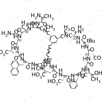 CC(C[C@@H]1NC(=O)[C@H](Cc2ccccc2)NC(=O)[C@H](CC(=O)O)NC(=O)[C@H](CCC(=O)O)NC(=O)[C@H]2CSCc3cc(cc(c3)CN(C)C[C@H](NC(=O)[C@H](C)N)C(=O)N[C@H](C)C(=O)N[C@@H](CC(N)=O)C(=O)N[C@@H](CCC(=O)O)C(=O)N[C@@H](Cc3cccc4ccccc34)C(=O)N[C@H](C)C(=O)N2)CN(C)C[C@@H](C(N)=O)NC(=O)[C@H](C(C)(C)C)NC(=O)[C@H](CC(=O)O)NC1=O)[C@@H](C)O